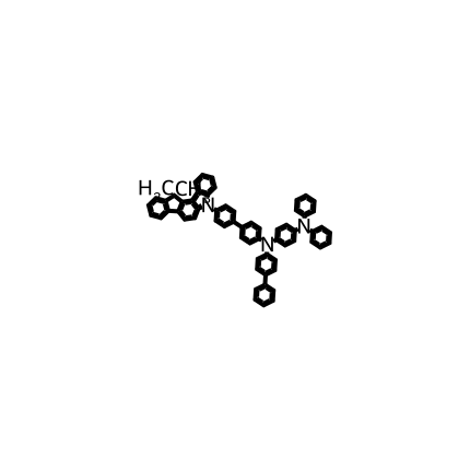 CC1(C)c2ccccc2-c2ccc3c(c21)c1ccccc1n3-c1ccc(-c2ccc(N(c3ccc(-c4ccccc4)cc3)c3ccc(N(c4ccccc4)c4ccccc4)cc3)cc2)cc1